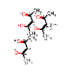 CC(=O)/C=C(/C)[O-].CC(=O)/C=C(/C)[O-].CC(=O)/C=C(/C)[O-].[Zr+3]